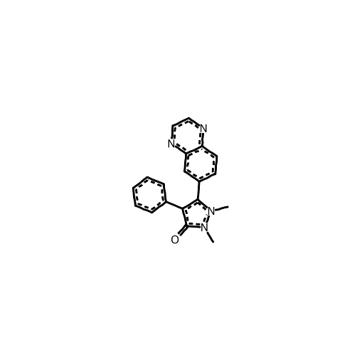 Cn1c(-c2ccc3nccnc3c2)c(-c2ccccc2)c(=O)n1C